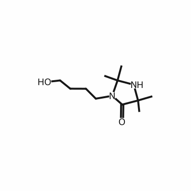 CC1(C)NC(C)(C)N(CCCCO)C1=O